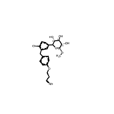 CO[C@H]1OC(c2ccc(Cl)c(Cc3ccc(OCCC=N)cc3)c2)[C@H](O)[C@@H](O)[C@@H]1O